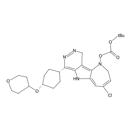 CC(C)(C)OC(=O)ON1CC=C(Cl)C=c2[nH]c3c(c21)CN=NC=3[C@H]1CC[C@@H](OC2CCOCC2)CC1